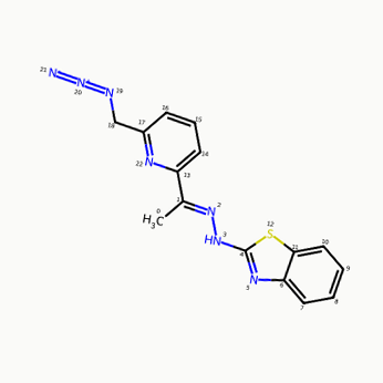 C/C(=N\Nc1nc2ccccc2s1)c1cccc(CN=[N+]=[N-])n1